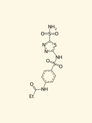 CCC(=O)Nc1ccc(S(=O)(=O)Nc2nnc(S(N)(=O)=O)s2)cc1